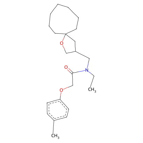 CCN(CC1COC2(CCCCCCC2)C1)C(=O)COc1ccc(C)cc1